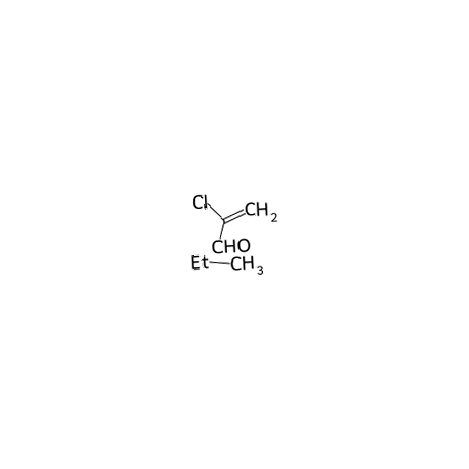 C=C(Cl)C=O.CCC